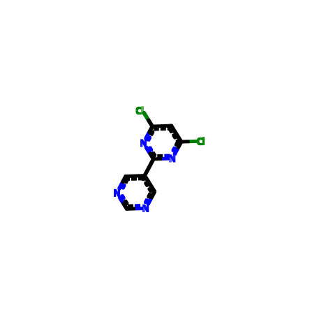 Clc1cc(Cl)nc(-c2cncnc2)n1